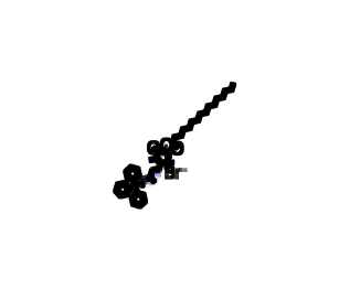 CCCCCCCCCCCCCCCC(=O)O[C@@H]1CC(C)(C)C(/C=C/C(C)=C/C[P+](c2ccccc2)(c2ccccc2)c2ccccc2)=C(C)C1=O.[Br-]